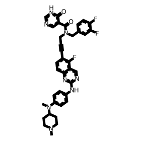 CN1CCC(N(C)c2ccc(Nc3ncc4c(F)c(C#CCN(Cc5ccc(F)c(F)c5)C(=O)c5cnc[nH]c5=O)ccc4n3)cc2)CC1